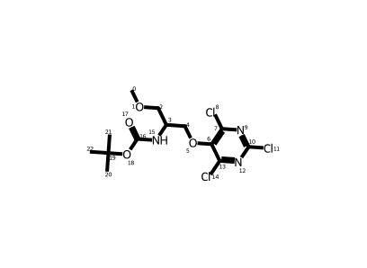 COCC(COc1c(Cl)nc(Cl)nc1Cl)NC(=O)OC(C)(C)C